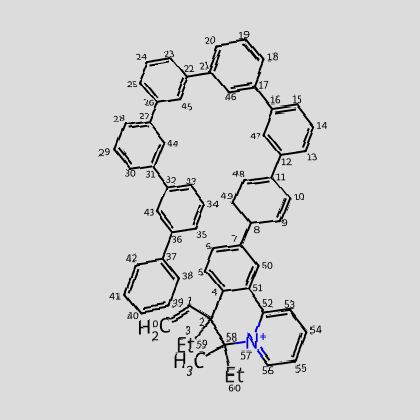 C=CC1(CC)c2ccc(C3C=CC(c4cccc(-c5cccc(-c6cccc(-c7cccc(-c8cccc(-c9ccccc9)c8)c7)c6)c5)c4)=CC3)cc2-c2cccc[n+]2C1(C)CC